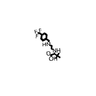 CC(C)(C)[C@H](NCCNCc1ccc(C(F)(F)F)cc1)C(=O)O